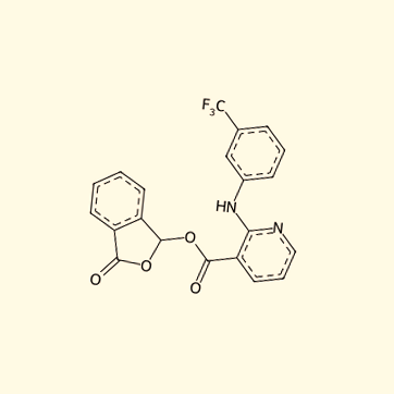 O=C1OC(OC(=O)c2cccnc2Nc2cccc(C(F)(F)F)c2)c2ccccc21